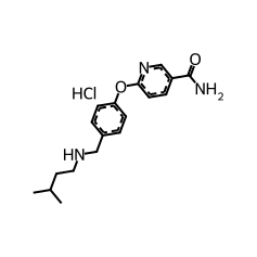 CC(C)CCNCc1ccc(Oc2ccc(C(N)=O)cn2)cc1.Cl